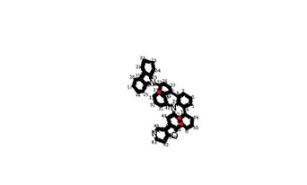 c1ccc(-c2cccc(-c3ccc(-n4c5ccccc5c5ccccc54)cc3)c2N(c2ccccc2)c2ccc3oc4ccncc4c3c2)cc1